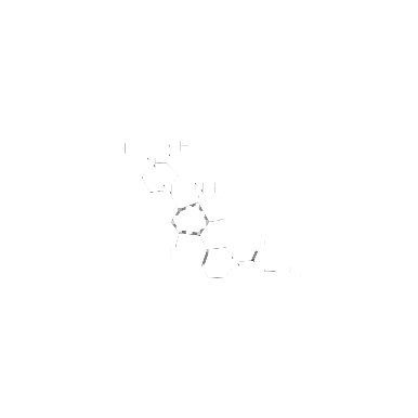 C[C@H]1CN(c2cc(F)c(C3=CCCN(C(=O)OC(C)(C)C)C3)c(F)c2N)CCN1C